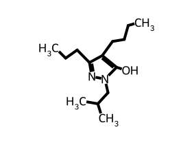 CCCCc1c(CCC)nn(CC(C)C)c1O